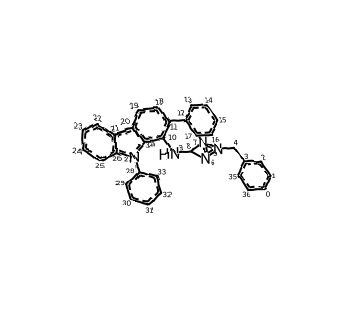 c1ccc(Cn2n3n2C3Nc2c(-c3ccccc3)ccc3c4ccccc4n(-c4ccccc4)c23)cc1